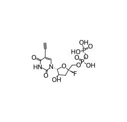 C#Cc1cn([C@@H]2O[C@](F)(COP(=O)(O)OP(=O)(O)O)C[C@H]2O)c(=O)[nH]c1=O